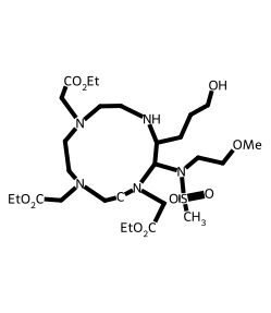 CCOC(=O)CN1CCNC(CCCO)C(N(CCOC)S(C)(=O)=O)N(CC(=O)OCC)CCN(CC(=O)OCC)CC1